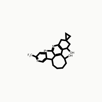 CC(C)c1nc2c(c3c1C(c1ccc(C(F)(F)F)nc1)CCCCC3O)C(O)CC1(CC1)C2